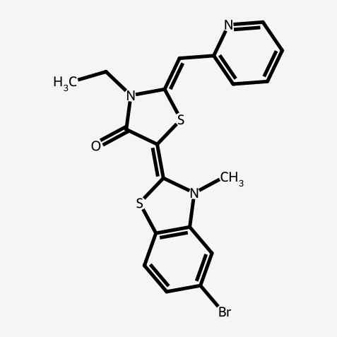 CCn1c(=O)/c(=C2\Sc3ccc(Br)cc3N2C)s/c1=C\c1ccccn1